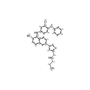 N#Cc1cnc2cc(-c3csc(CNCCO)c3)ccc2c1Nc1ccc(Oc2ccccc2)c(Cl)c1